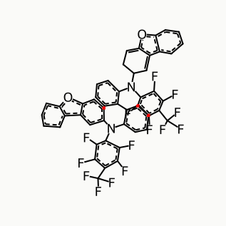 Fc1c(F)c(C(F)(F)F)c(F)c(F)c1N(c1ccc2oc3ccccc3c2c1)c1ccccc1-c1ccccc1N(c1c(F)c(F)c(C(F)(F)F)c(F)c1F)C1C=c2c(oc3ccccc23)=CC1